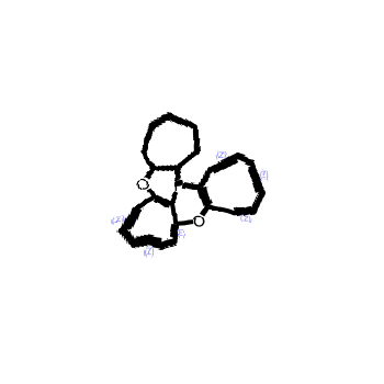 S=P12C3=C(\C=C/C=C\C=C/3)O/C3=C/C=C\C=C/C(=C31)OC1CCCCCC12